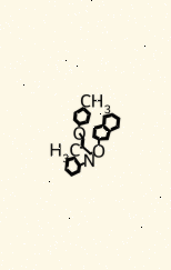 CC(=COc1ccc(C)cc1)/C(=N\c1ccccc1)Oc1ccc2ccccc2c1